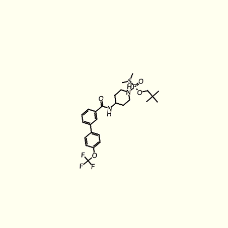 C[SH](C)P(=O)(OCC(C)(C)C)N1CCC(NC(=O)c2cccc(-c3ccc(OC(F)(F)F)cc3)c2)CC1